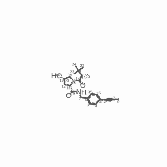 CC#Cc1ccc(CNC(=O)[C@@H]2C[C@@H](O)CN2C(=O)[C@@H](C)C(C)(C)C)cc1